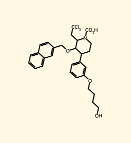 O=C(O)N1CCC(c2cccc(OCCCCO)c2)C(OCc2ccc3ccccc3c2)C1CC(Cl)(Cl)Cl